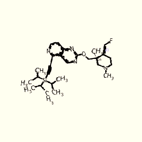 CC(C)[Si](C#Cc1nccc2nc(OC[C@]3(C)CN(C)CC/C3=C\F)ncc12)(C(C)C)C(C)C